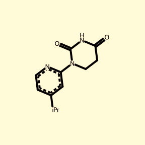 CC(C)c1ccnc(N2CCC(=O)NC2=O)c1